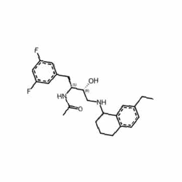 CCc1ccc2c(c1)C(NC[C@@H](O)[C@H](Cc1cc(F)cc(F)c1)NC(C)=O)CCC2